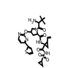 C=CC1CC1(NC(=O)C1CC(Oc2nccc(-c3cccs3)n2)CN1C(=O)C(N)C(C)(C)C)C(=O)NS(=O)(=O)C1CC1